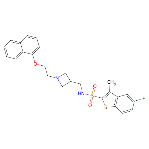 Cc1c(S(=O)(=O)NCC2CN(CCOc3cccc4ccccc34)C2)sc2ccc(F)cc12